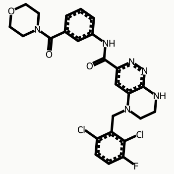 O=C(Nc1cccc(C(=O)N2CCOCC2)c1)c1cc2c(nn1)NCCN2Cc1c(Cl)ccc(F)c1Cl